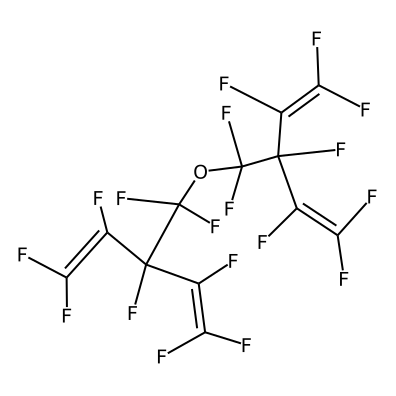 FC(F)=C(F)C(F)(C(F)=C(F)F)C(F)(F)OC(F)(F)C(F)(C(F)=C(F)F)C(F)=C(F)F